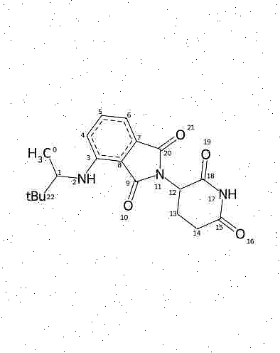 CC(Nc1cccc2c1C(=O)N(C1CCC(=O)NC1=O)C2=O)C(C)(C)C